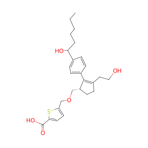 CCCCCC(O)c1ccc(C2=C(CCO)CC[C@@H]2COCc2ccc(C(=O)O)s2)cc1